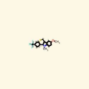 COc1ccc2c(c1)c1c(n2C)-c2ccc(C(F)(F)F)cc2SC1